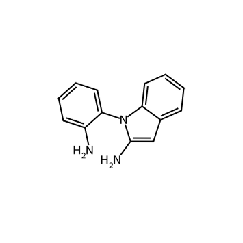 Nc1ccccc1-n1c(N)cc2ccccc21